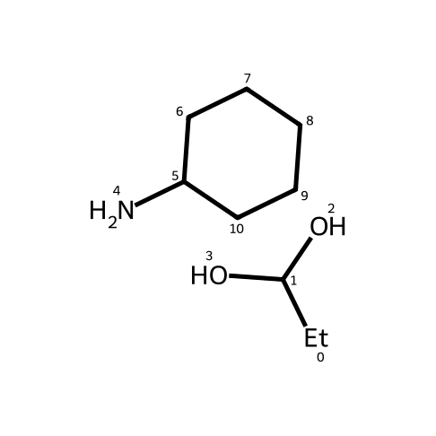 CCC(O)O.NC1CCCCC1